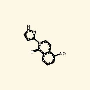 O=Nc1cccc2c(=O)n(-c3cc[nH]n3)ccc12